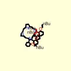 CCCCC=COc1ccccc1C1=CC2=CC3=NC(=CC4=NC(=CC5=NC(=C(c6ccccc6OC=CCCCC)C1=N2)C(c1ccccc1OC=CCCCC)=C5c1ccccc1OC=CCCCC)C=C4)C=C3